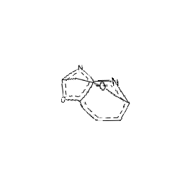 c1cc2oc3nc2nc1O3